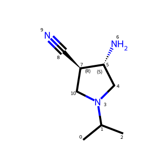 CC(C)N1C[C@@H](N)[C@H](C#N)C1